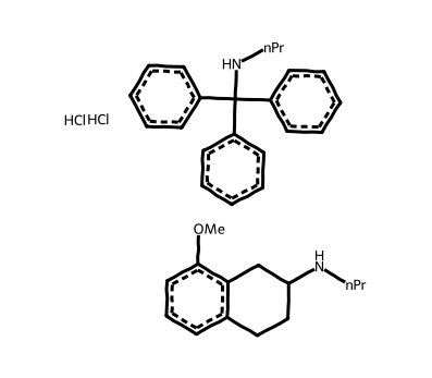 CCCNC(c1ccccc1)(c1ccccc1)c1ccccc1.CCCNC1CCc2cccc(OC)c2C1.Cl.Cl